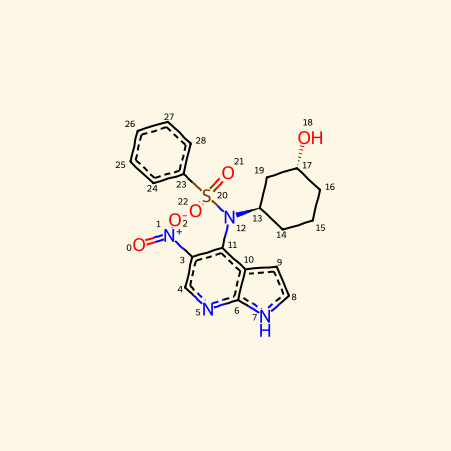 O=[N+]([O-])c1cnc2[nH]ccc2c1N([C@@H]1CCC[C@@H](O)C1)S(=O)(=O)c1ccccc1